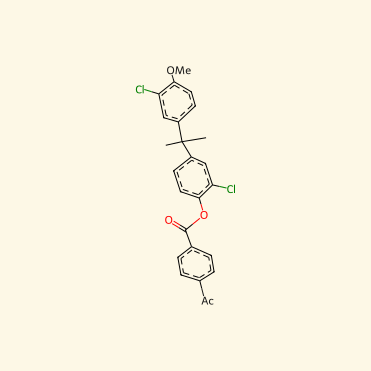 COc1ccc(C(C)(C)c2ccc(OC(=O)c3ccc(C(C)=O)cc3)c(Cl)c2)cc1Cl